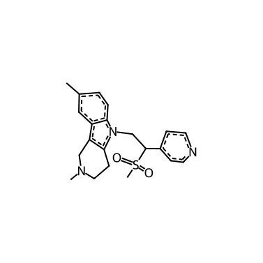 Cc1ccc2c(c1)c1c(n2CC(c2ccncc2)S(C)(=O)=O)CCN(C)C1